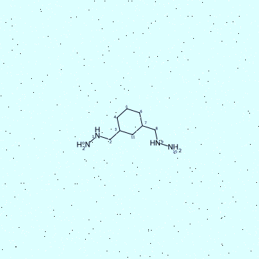 NNCC1CCCC(CNN)C1